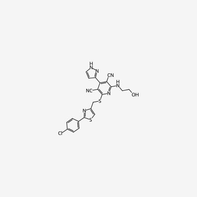 N#Cc1c(NCCO)nc(SCc2csc(-c3ccc(Cl)cc3)n2)c(C#N)c1-c1cc[nH]n1